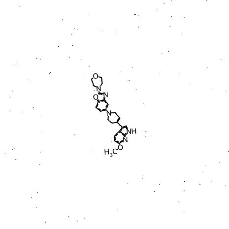 COc1ccc2c(C3=CCN(c4ccc5oc(N6CCOCC6)nc5c4)CC3)c[nH]c2n1